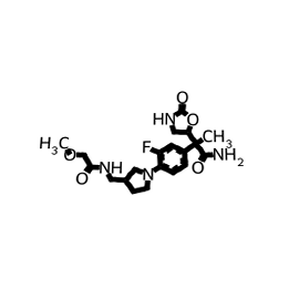 COCC(=O)NCC1CCN(c2ccc(C(C)(C(N)=O)C3CNC(=O)O3)cc2F)C1